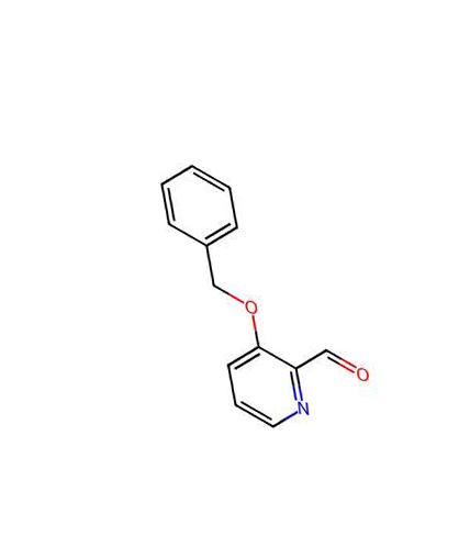 O=Cc1ncccc1OCc1ccccc1